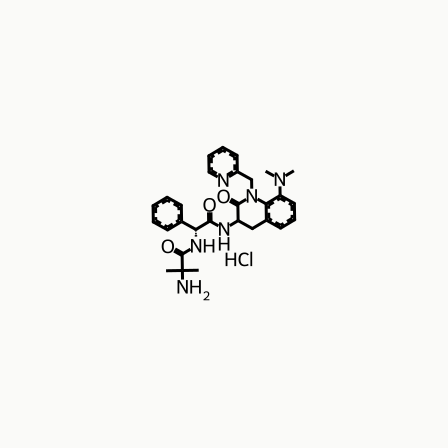 CN(C)c1cccc2c1N(Cc1ccccn1)C(=O)C(NC(=O)[C@H](NC(=O)C(C)(C)N)c1ccccc1)C2.Cl